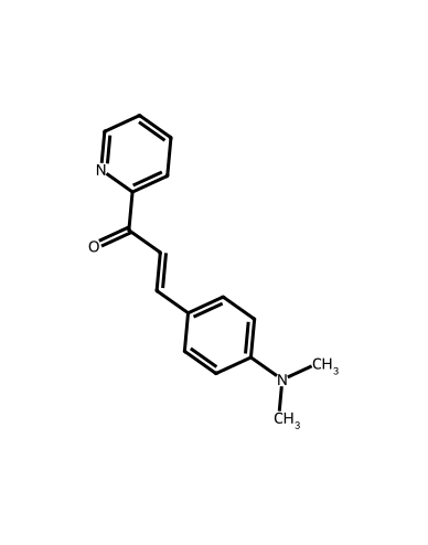 CN(C)c1ccc(C=CC(=O)c2ccccn2)cc1